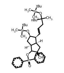 C=C1C[C@@H]2[C@H](/C=C/CC(C)(CCCC)O[Si](C)(C)C(C)(C)C)[C@H](O[Si](C)(C)C(C)(C)C)C[C@@H]2C1OP(=O)(c1ccccc1)c1ccccc1